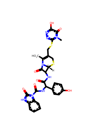 Cn1c(SCC2=C(C(=O)O)N3C(=O)C(NC(=O)C(NC(=O)n4c(=O)[nH]c5ccccc54)c4ccc(O)cc4)[C@H]3SC2)nnc(O)c1=O